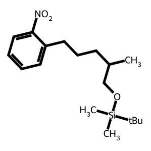 CC(CCCc1ccccc1[N+](=O)[O-])CO[Si](C)(C)C(C)(C)C